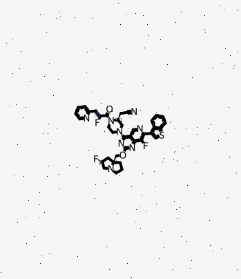 N#CC[C@H]1CN(c2nc(OC[C@@]34CCCN3C[C@H](F)C4)nc3c(F)c(-c4csc5ccccc45)ncc23)CCN1C(=O)/C(F)=C/c1ccccn1